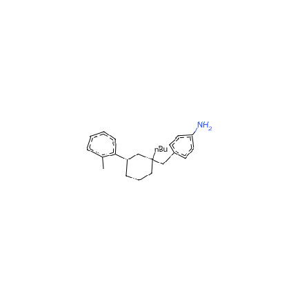 CCCCC1(Cc2ccc(N)cc2)CCCC(c2ccccc2C)C1